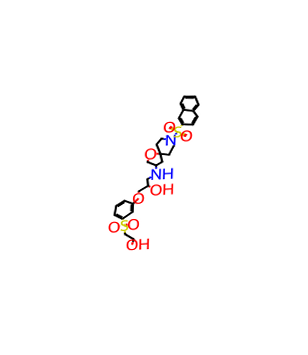 O=S(=O)(CCO)c1cccc(OCC(O)CNC2COC3(CCN(S(=O)(=O)c4ccc5ccccc5c4)CC3)C2)c1